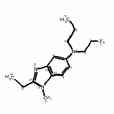 CCCN(CCC)c1ccc2c(c1)nc(CC)n2C